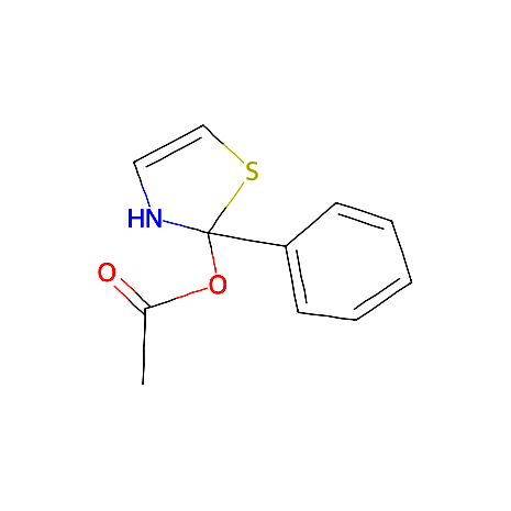 CC(=O)OC1(c2ccccc2)NC=CS1